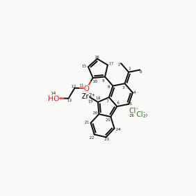 CC(C)=c1ccc2c(c1C1=C(OCCO)C=CC1)[C]([Zr+2])=c1ccccc1=2.[Cl-].[Cl-]